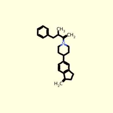 C=C1CCc2cc(C3CCN(C(=C)C(C)Cc4ccccc4)CC3)ccc21